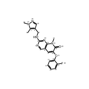 Cc1c(CNc2ncc3cc(Oc4ccccc4F)c(=O)n(C)c3n2)cnn1C